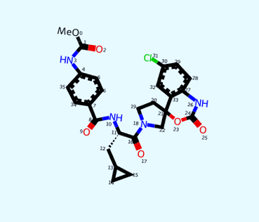 COC(=O)Nc1ccc(C(=O)N[C@@H](CC2CC2)C(=O)N2CCC3(C2)OC(=O)Nc2ccc(Cl)cc23)cc1